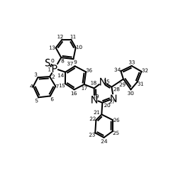 S=P(c1ccccc1)(c1ccccc1)c1ccc(-c2nc(-c3ccccc3)nc(-c3ccccc3)n2)cc1